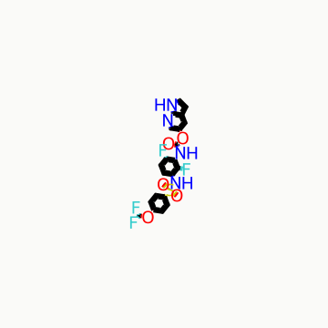 O=C(Nc1c(F)ccc(NS(=O)(=O)c2ccc(OC(F)F)cc2)c1F)Oc1cnc2[nH]ccc2c1